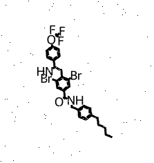 CCCCCc1ccc(CNC(=O)c2cc(Br)c(CC([NH])c3ccc(OC(F)(F)F)cc3)c(Br)c2)cc1